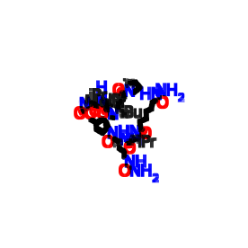 CC[C@H](C)[C@@H]([C@@H](CC(=O)N1CCC[C@H]1C)OC)N(C)C(=O)[C@@H](NC(=O)C(C(C)C)N(C)C(=O)OCc1ccc(NC(=O)[C@H](CCCNC(N)=O)NC(=O)[C@@H](NC(=O)CCCCCC(=O)NN)C(C)C)cc1)C(C)C